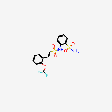 NS(=O)(=O)c1ccccc1NS(=O)(=O)/C=C/c1ccccc1OC(F)F